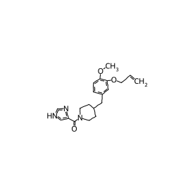 C=CCOc1cc(CC2CCN(C(=O)c3c[nH]cn3)CC2)ccc1OC